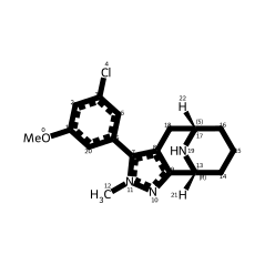 COc1cc(Cl)cc(-c2c3c(nn2C)[C@H]2CCC[C@@H](C3)N2)c1